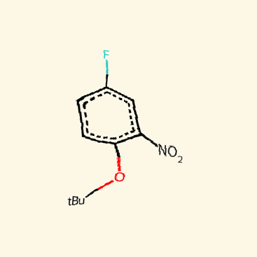 CC(C)(C)Oc1ccc(F)cc1[N+](=O)[O-]